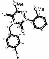 COc1ccccc1-n1nc(OC)c(=O)n(Cc2ccc(Cl)cc2)c1=O